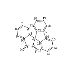 C=C1C(=C)C2(c3ccccc31)c1ccccc1-c1ccccc12